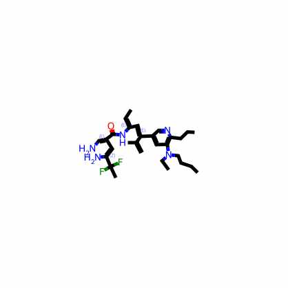 C=C(C)/C(=C\C(=C/C)NC(=O)C(/C=C(\N)C(C)(F)F)=C/N)c1cnc(CCC)c(N(CC)CCCC)c1